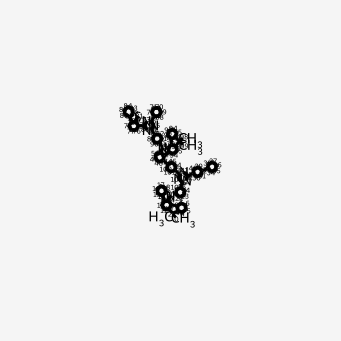 CC1(C)c2ccccc2-c2c1ccc1c3ccccc3n(-c3cccc(-c4nc(-c5ccc(-c6ccccc6)cc5)nc(-c5ccc(-c6cccc7c6c6ccc8c(c6n7-c6ccc(-c7nc(-c9ccccc9)nc(-c9cccc%10c9sc9ccccc9%10)n7)cc6)-c6ccccc6C8(C)C)cc5)n4)c3)c21